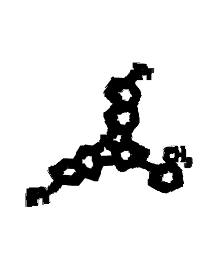 Cc1ccccc1-c1cc2c3cc4cc(C(C)C)ccc4cc3n3c4cc5ccc(C(C)C)cc5cc4c(c1)c23